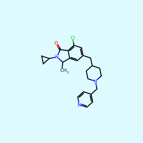 CC1c2cc(CC3CCN(Cc4ccncc4)CC3)cc(Cl)c2C(=O)N1C1CC1